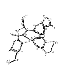 CC(C)Oc1ccc(C2(O)OC(=O)C(c3ccc4nsnc4c3)=C2Cc2ccc3c(c2)OCO3)cc1